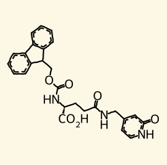 O=C(CC[C@H](NC(=O)OCC1c2ccccc2-c2ccccc21)C(=O)O)NCc1cc[nH]c(=O)c1